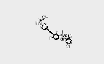 C[C@H](CO)Nc1ncc(C#Cc2c(F)ccc(NS(=O)(=O)c3cc(Cl)ccc3Cl)c2F)cn1